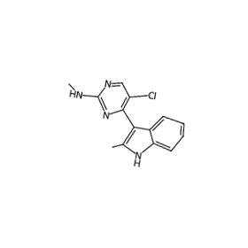 CNc1ncc(Cl)c(-c2c(C)[nH]c3ccccc23)n1